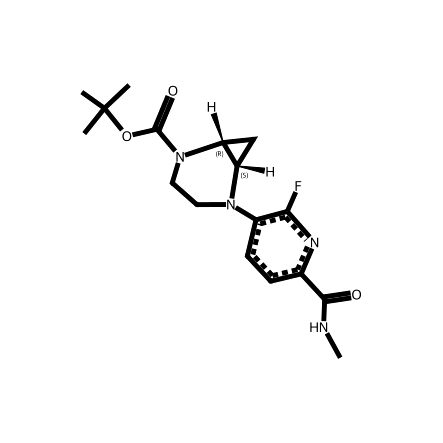 CNC(=O)c1ccc(N2CCN(C(=O)OC(C)(C)C)[C@@H]3C[C@@H]32)c(F)n1